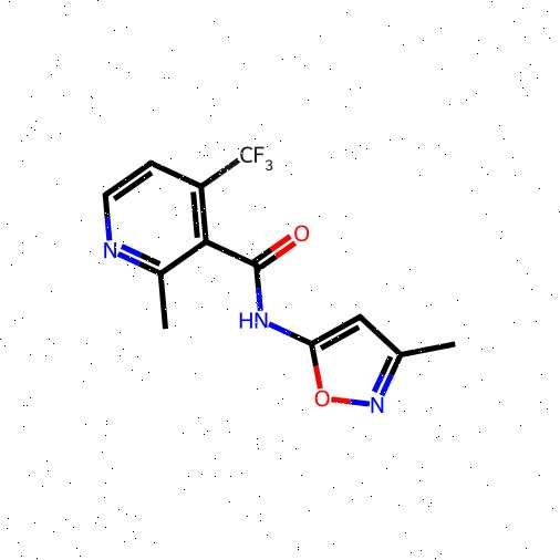 Cc1cc(NC(=O)c2c(C(F)(F)F)ccnc2C)on1